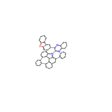 c1ccc(-c2cc3cccc4c3c3c5c(cccc5n(-c5nc6ccccc6nc5-c5ccc6oc7ccccc7c6c5)c23)-c2ccccc2-4)cc1